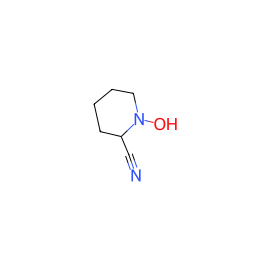 N#CC1CCCCN1O